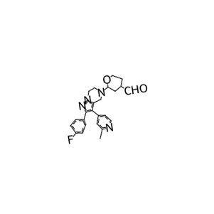 Cc1cc(-c2c(-c3ccc(F)cc3)nn3c2CN(C2CC(C=O)CCO2)CC3)ccn1